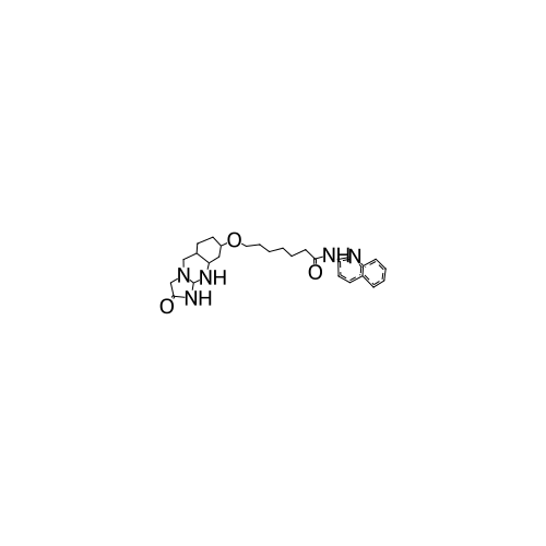 O=C(CCCCCCOC1CCC2CN3CC(=O)NC3NC2C1)Nc1ccc2ccccc2n1